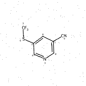 N#Cc1cn[c]c(SC(F)(F)F)c1